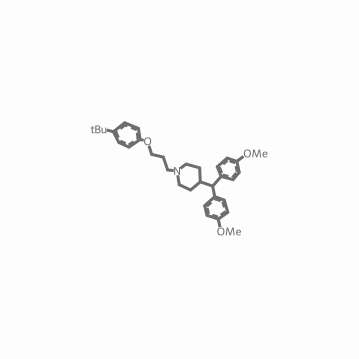 COc1ccc(C(c2ccc(OC)cc2)C2CCN(CCCOc3ccc(C(C)(C)C)cc3)CC2)cc1